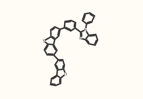 c1ccc(-n2c(-c3cccc(-c4ccc5sc6ccc(-c7ccc8oc9ccccc9c8c7)cc6c5c4)c3)nc3ccccc32)cc1